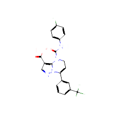 O=C(O)c1cnn2c1N(C(=O)Nc1ccc(Cl)cc1)CC=C2c1cccc(C(F)(F)F)c1